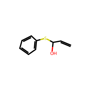 C=CC(O)Sc1ccccc1